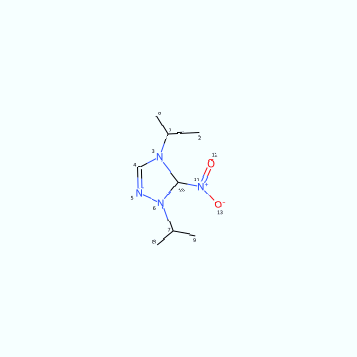 CC(C)N1C=NN(C(C)C)C1[N+](=O)[O-]